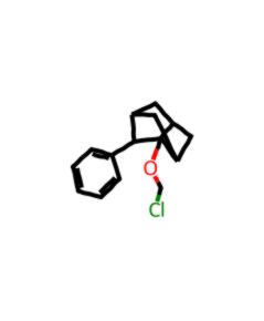 ClCOC12C3CC(CC1C3)C2c1ccccc1